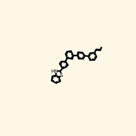 C/C=C/c1cccc(-c2ccc(-c3cccc(-c4ccc(C5Nc6ccccc6S5)cc4)c3)cc2)c1